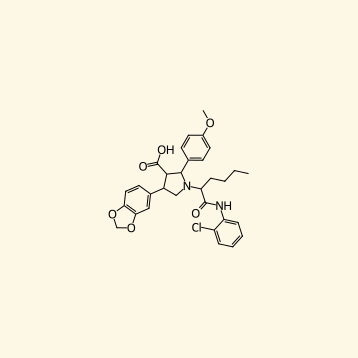 CCCCC(C(=O)Nc1ccccc1Cl)N1CC(c2ccc3c(c2)OCO3)C(C(=O)O)C1c1ccc(OC)cc1